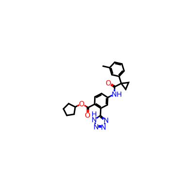 Cc1cccc(C2(C(=O)Nc3ccc(C(=O)OC4CCCC4)c(-c4nnn[nH]4)c3)CC2)c1